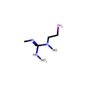 C/N=C(\N[N+](=O)[O-])N(CCP)N=O